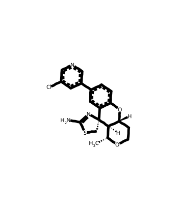 C[C@H]1OCC[C@H]2Oc3ccc(-c4cncc(Cl)c4)cc3[C@@]3(CSC(N)=N3)[C@H]12